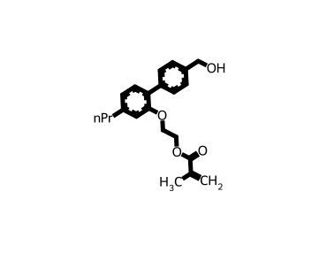 C=C(C)C(=O)OCCOc1cc(CCC)ccc1-c1ccc(CO)cc1